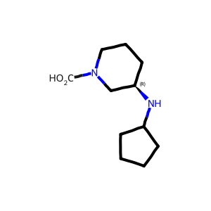 O=C(O)N1CCC[C@@H](NC2CCCC2)C1